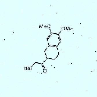 COc1cc2c(cc1OC)CN(C(=O)CC(C)(C)C)CC2